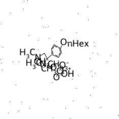 CCCCCCOc1ccc(C(C)(CN(C)C)N(C)C)cc1.[O-][Cl+3]([O-])([O-])O